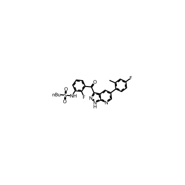 CCCCS(=O)(=O)Nc1cccc(C(=O)c2n[nH]c3ncc(-c4ccc(F)cc4C)cc23)c1F